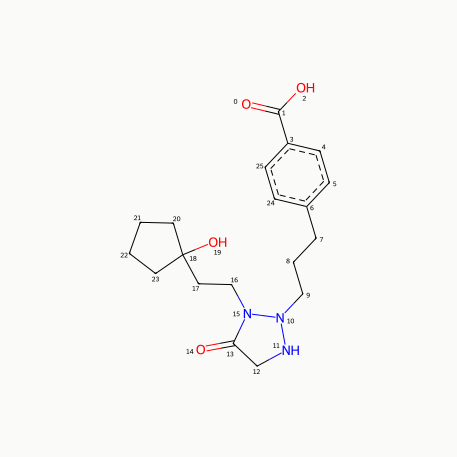 O=C(O)c1ccc(CCCN2NCC(=O)N2CCC2(O)CCCC2)cc1